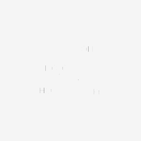 CC(C)C(CO)(CO)C(=O)O